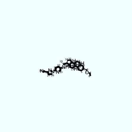 CCOC[C@H]1CC[C@H]2[C@H](CC[C@@H]3[C@@H]2CC[C@]2(C)[C@@H]([C@@H](C)Nc4ccc(-n5ccc(C#N)n5)nc4)CC[C@@H]32)C1